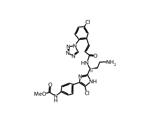 COC(=O)Nc1ccc(-c2nc([C@H](CCN)NC(=O)C=Cc3cc(Cl)ccc3-n3cnnn3)[nH]c2Cl)cc1